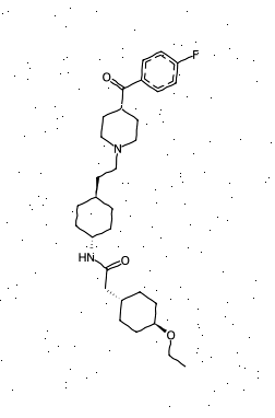 CCO[C@H]1CC[C@H](CC(=O)N[C@H]2CC[C@H](CCN3CCC(C(=O)c4ccc(F)cc4)CC3)CC2)CC1